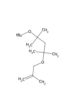 C=C(C)COC(C)(C)CC(C)(C)OC(C)(C)C